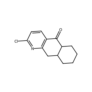 O=C1c2ccc(Cl)nc2CC2CCCCC12